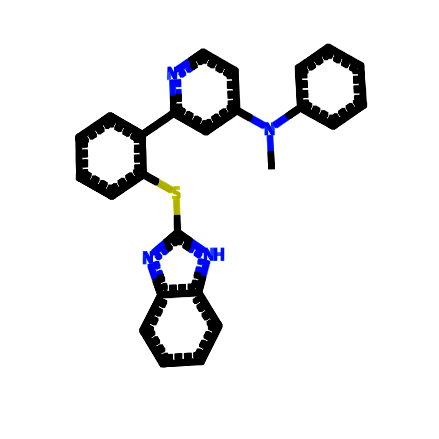 CN(c1ccccc1)c1ccnc(-c2ccccc2Sc2nc3ccccc3[nH]2)c1